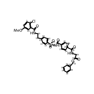 COc1ccc(Cl)c(C(=O)NCCc2ccc(S(=O)(=O)NC(=O)c3ccc(C(=O)NCC(=O)OCc4ccccc4)nc3)cc2)c1